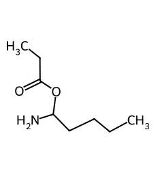 CCCCC(N)OC(=O)CC